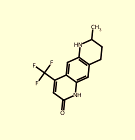 CC1CCc2cc3[nH]c(=O)cc(C(F)(F)F)c3cc2N1